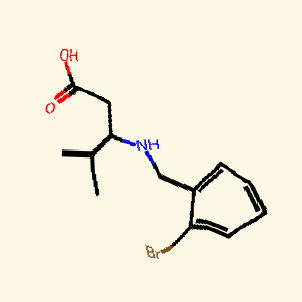 CC(C)C(CC(=O)O)NCc1ccccc1Br